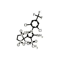 CC1(c2nn(-c3c(Cl)cc(C(F)(F)F)cc3Cl)c(N)c2S(C)(=O)=O)S(=O)(=O)CCS1(=O)=O